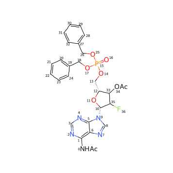 CC(=O)Nc1ncnc2c1ncn2[C@@H]1O[C@H](COP(=O)(OCc2ccccc2)OCc2ccccc2)C(OC(C)=O)C1F